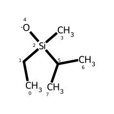 CC[Si](C)([O])C(C)C